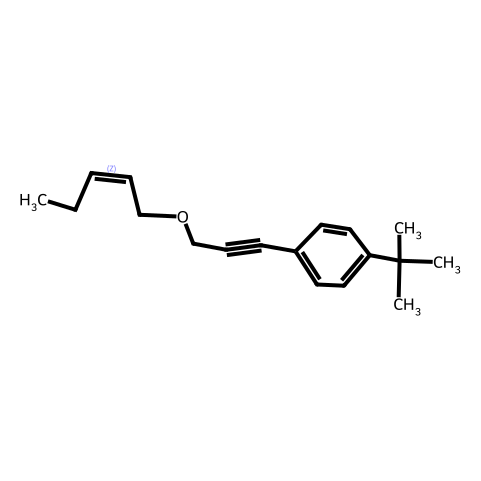 CC/C=C\COCC#Cc1ccc(C(C)(C)C)cc1